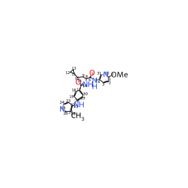 COc1ccc(NC(=O)C(CCC2CC2)NC(=O)c2ccc(Nc3ccncc3C)cc2)cn1